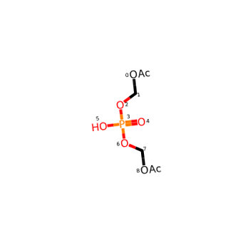 CC(=O)OCOP(=O)(O)OCOC(C)=O